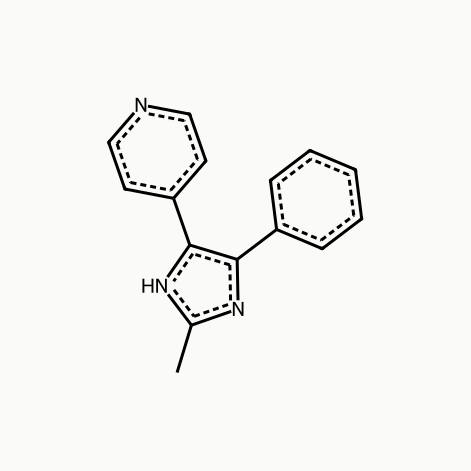 Cc1nc(-c2ccccc2)c(-c2ccncc2)[nH]1